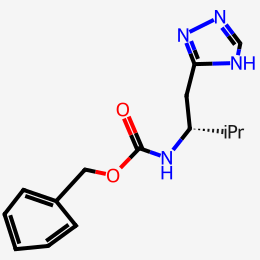 CC(C)[C@@H](Cc1nnc[nH]1)NC(=O)OCc1ccccc1